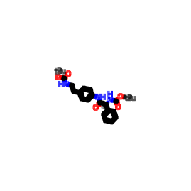 CC(C)(C)OC(=O)NCCc1ccc(NC(=O)[C@@H](NC(=O)OC(C)(C)C)c2ccccc2)cc1